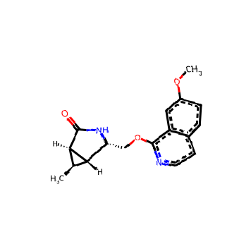 COc1ccc2ccnc(OC[C@H]3NC(=O)[C@@H]4[C@H](C)[C@H]43)c2c1